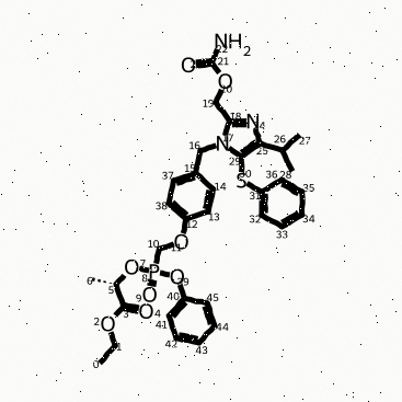 CCOC(=O)[C@H](C)OP(=O)(COc1ccc(Cn2c(COC(N)=O)nc(C(C)C)c2Sc2ccccc2)cc1)Oc1ccccc1